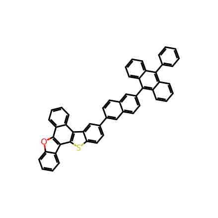 c1ccc(-c2c3ccccc3c(-c3ccc4cc(-c5ccc6sc7c(c6c5)c5ccccc5c5oc6ccccc6c57)ccc4c3)c3ccccc23)cc1